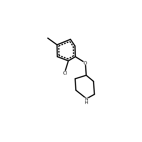 Cc1ccc(OC2CCNCC2)c(Cl)c1